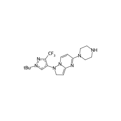 CC(C)(C)n1cc(N2CC=C3N=C(N4CCNCC4)C=CN32)c(C(F)(F)F)n1